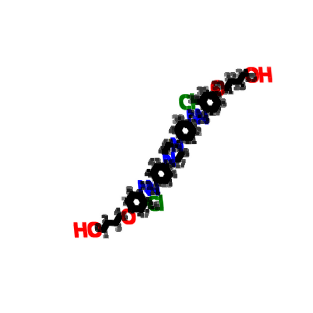 OCCCCOc1ccc(/N=N/c2ccc(N3CCN(c4ccc(/N=N/c5ccc(OCCCCO)cc5Cl)cc4)CC3)cc2)c(Cl)c1